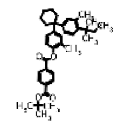 CCC(C)(C)c1ccc(C2(c3ccc(OC(=O)c4ccc(C(=O)OC(C)(C)C)cc4)c(C)c3)CCCCC2)cc1C